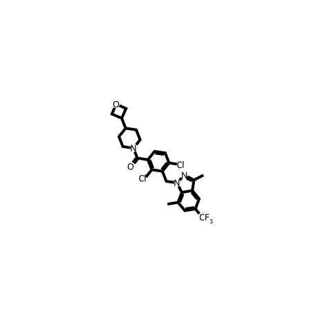 Cc1nn(Cc2c(Cl)ccc(C(=O)N3CCC(C4COC4)CC3)c2Cl)c2c(C)cc(C(F)(F)F)cc12